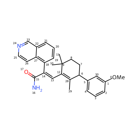 COc1cccc(C2CCC(C)(C)C(/C=C(/C(N)=O)c3cccc4cnccc34)=C2C)c1